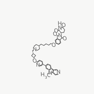 Cn1c2ccncc2c2ccc(-c3ccc(O[C@H]4C[C@H](CN5CCC(CCCCCOc6ccc7c(c6)C(=O)N(C6CCC(=O)NC6=O)C7=O)CC5)C4)nc3)cc21